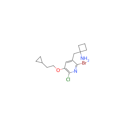 NC1(Cc2cc(OCCC3CC3)c(Cl)nc2Br)CCC1